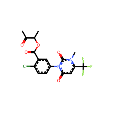 CC(=O)C(C)OC(=O)c1cc(-n2c(=O)cc(C(F)(F)F)n(C)c2=O)ccc1Cl